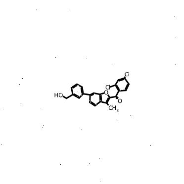 Cc1c(C(=O)c2ccc(Cl)cc2Cl)oc2cc(-c3cccc(CO)c3)ccc12